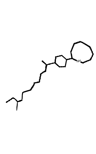 CCC(C)CCCCCCCC(C)C1CCC(C2CCCCCCCN2)CC1